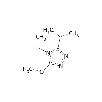 CCn1c(OC)nnc1C(C)C